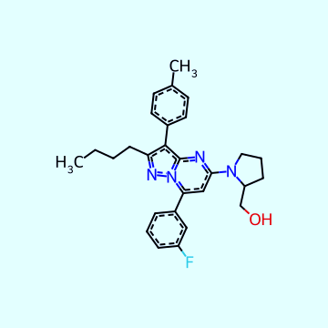 CCCCc1nn2c(-c3cccc(F)c3)cc(N3CCCC3CO)nc2c1-c1ccc(C)cc1